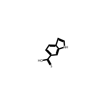 OC(=S)c1ccc2cc[nH]c2c1